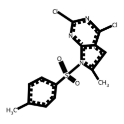 Cc1ccc(S(=O)(=O)n2c(C)cc3c(Cl)nc(Cl)nc32)cc1